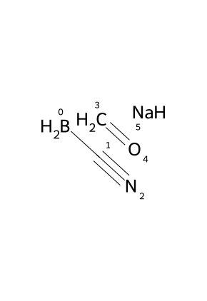 BC#N.C=O.[NaH]